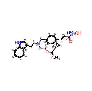 C=C(OCCN(CCc1c[nH]c2ccccc12)Cc1ccc(/C=C/C(=O)NO)cc1)C1CC1